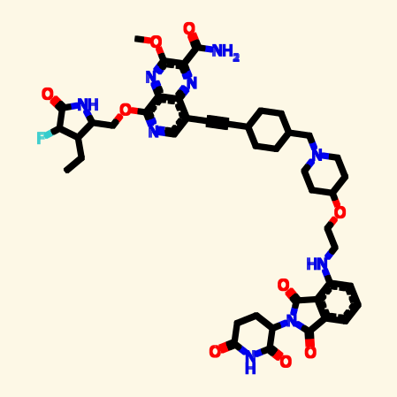 CCC1C(COc2ncc(C#CC3CCC(CN4CCC(OCCNc5cccc6c5C(=O)N(C5CCC(=O)NC5=O)C6=O)CC4)CC3)c3nc(C(N)=O)c(OC)nc23)NC(=O)C1F